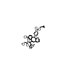 COCC(=O)NC(C1=Cc2cccnc2C(N2CCN(C(=O)OCC3CC3)CC2)c2ccc(Cl)cc21)c1cncn1C